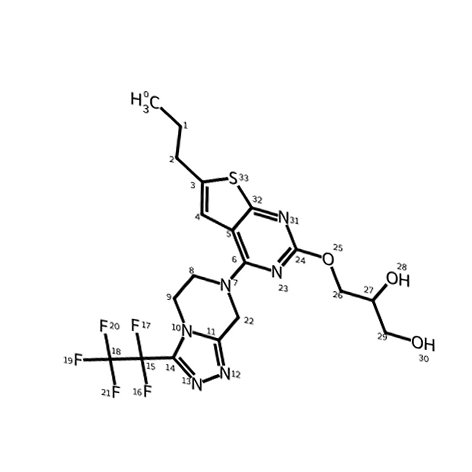 CCCc1cc2c(N3CCn4c(nnc4C(F)(F)C(F)(F)F)C3)nc(OCC(O)CO)nc2s1